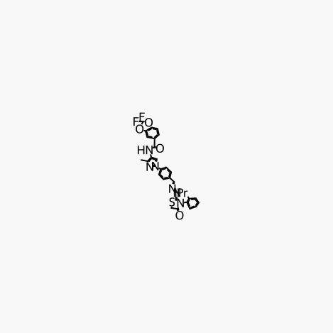 Cc1nn(-c2ccc(/C=N/N=C3\SCC(=O)N3c3ccccc3C(C)C)cc2)cc1NC(=O)c1ccc2c(c1)OC(F)(F)O2